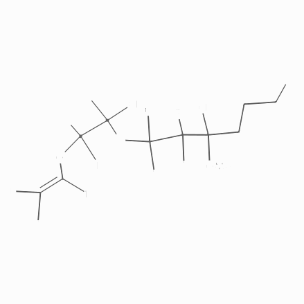 COC(CCCCl)(C(F)(F)F)C(F)(F)C(F)(F)OC(F)(C(F)(F)F)C(F)(F)OC(F)=C(F)F